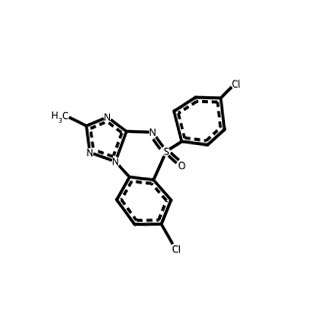 Cc1nc2n(n1)-c1ccc(Cl)cc1S(=O)(c1ccc(Cl)cc1)=N2